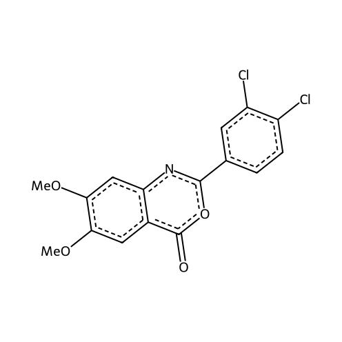 COc1cc2nc(-c3ccc(Cl)c(Cl)c3)oc(=O)c2cc1OC